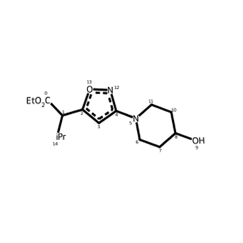 CCOC(=O)C(c1cc(N2CCC(O)CC2)no1)C(C)C